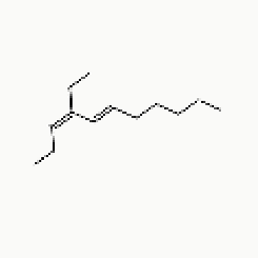 CC/[C]=C(\C=C\CCCCC)CC